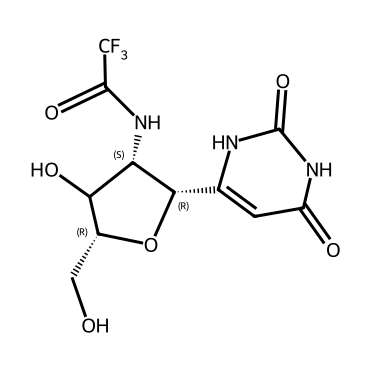 O=C(N[C@H]1C(O)[C@@H](CO)O[C@H]1c1cc(=O)[nH]c(=O)[nH]1)C(F)(F)F